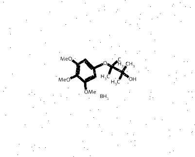 B.COc1cc(OC(C)(C)C(C)(C)O)cc(OC)c1OC